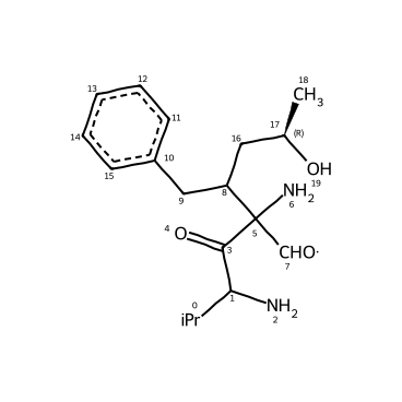 CC(C)C(N)C(=O)C(N)([C]=O)C(Cc1ccccc1)C[C@@H](C)O